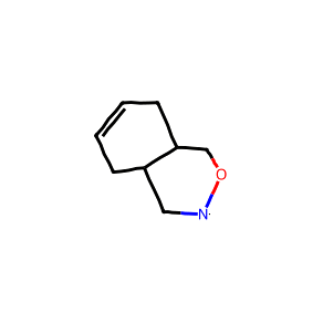 C1=CCC2CO[N]CC2C1